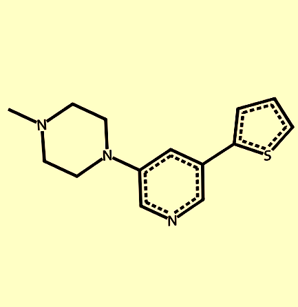 CN1CCN(c2cncc(-c3cccs3)c2)CC1